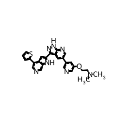 CN(C)CCOc1cncc(-c2cnc3[nH]nc(-c4cc5c(-c6cccs6)cncc5[nH]4)c3c2)c1